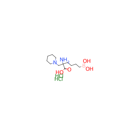 Cl.Cl.NC(CCCCB(O)O)(CN1CCCCC1)C(=O)O